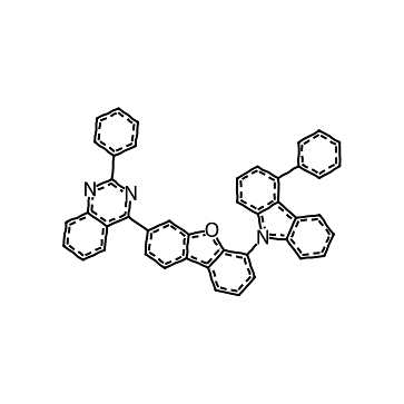 c1ccc(-c2nc(-c3ccc4c(c3)oc3c(-n5c6ccccc6c6c(-c7ccccc7)cccc65)cccc34)c3ccccc3n2)cc1